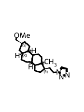 COC[C@H]1CC[C@@H]2C3CC[C@@]4(C)C(CC[C@@H]4CCn4ccnn4)[C@@H]3CC[C@@H]2C1